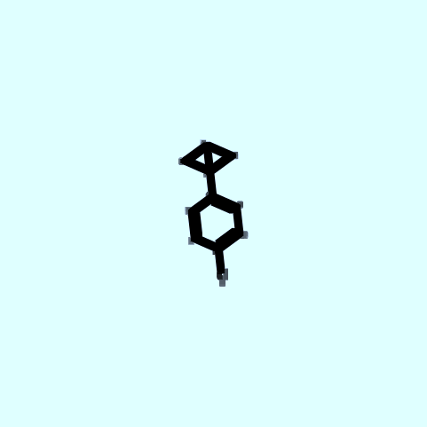 Clc1ccc(C23CC2C3)cc1